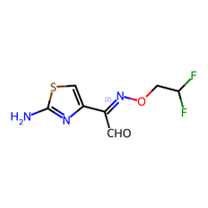 Nc1nc(/C(C=O)=N/OCC(F)F)cs1